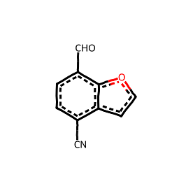 N#Cc1ccc(C=O)c2occc12